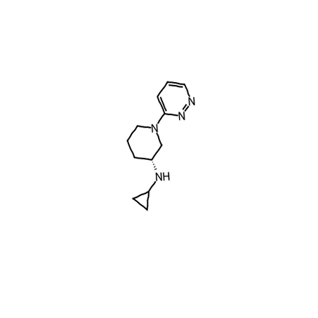 c1cnnc(N2CCC[C@@H](NC3CC3)C2)c1